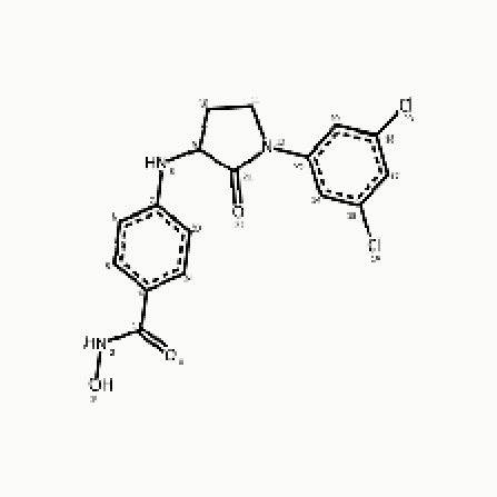 O=C(NO)c1ccc(NC2CCN(c3cc(Cl)cc(Cl)c3)C2=O)cc1